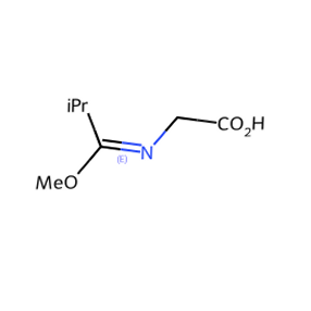 CO/C(=N/CC(=O)O)C(C)C